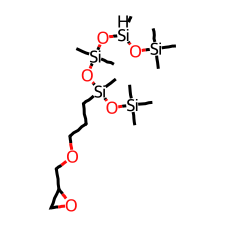 C[SiH](O[Si](C)(C)C)O[Si](C)(C)O[Si](C)(CCCOCC1CO1)O[Si](C)(C)C